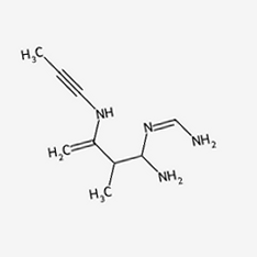 C=C(NC#CC)C(C)C(N)/N=C\N